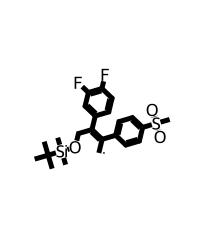 [CH2]/C(=C(\CO[Si](C)(C)C(C)(C)C)c1ccc(F)c(F)c1)c1ccc(S(C)(=O)=O)cc1